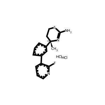 C[C@@]1(c2cccc(-c3cccnc3F)c2)CCSC(N)=N1.Cl.Cl